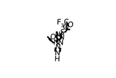 CC#CCn1c(N2CCNCC2)nc2nc(SCC(C)OC(=O)C(F)(F)F)n(C)c(=O)c21